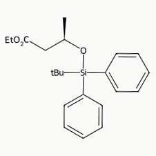 CCOC(=O)C[C@@H](C)O[Si](c1ccccc1)(c1ccccc1)C(C)(C)C